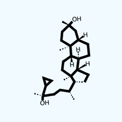 C[C@H](CC[C@@](C)(O)C1CC1)[C@H]1CC[C@H]2[C@@H]3CC[C@H]4C[C@@](C)(O)CC[C@]4(C)[C@H]3CC[C@]12C